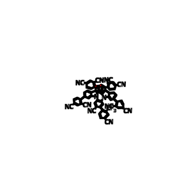 N#Cc1ccc(-c2ccc3c4ccc(-c5ccc(C#N)cc5C#N)cc4n(-c4cc(C#N)c(-c5ccc(C#N)cc5C(F)(F)F)cc4-n4c5cc(-c6ccc(C#N)cc6C#N)ccc5c5ccc(-c6ccc(C#N)cc6C#N)cc54)c3c2)c(C#N)c1